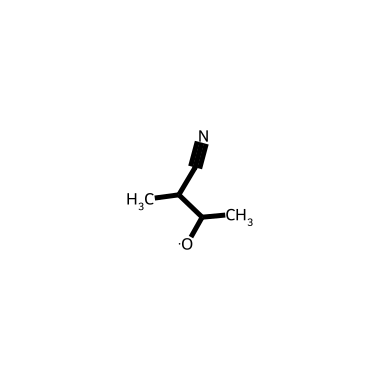 CC([O])C(C)C#N